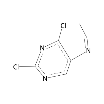 C/C=N\c1cnc(Cl)nc1Cl